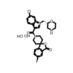 Cl.Cl.O=C1OC2(CCN(C(=O)c3cn(C[C@H]4CNCCO4)c4cc(Cl)ccc34)CC2)c2ccc(F)cc21